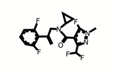 C=C(CN(C(=O)c1c(C(F)F)nn(C)c1F)C1CC1)c1c(F)cccc1F